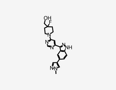 Cn1cc(-c2ccc3[nH]nc(-c4cc(N5CCC(F)(CO)CC5)ncn4)c3c2)cn1